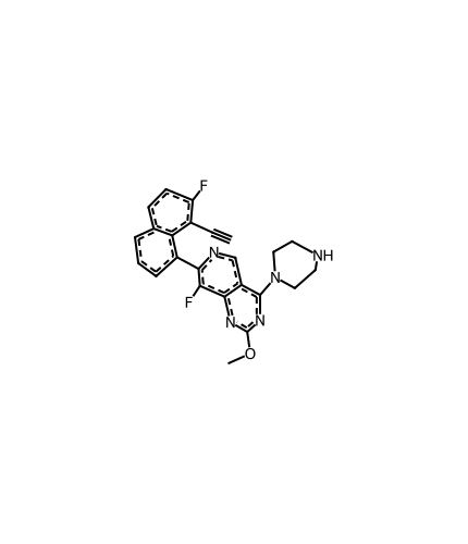 C#Cc1c(F)ccc2cccc(-c3ncc4c(N5CCNCC5)nc(OC)nc4c3F)c12